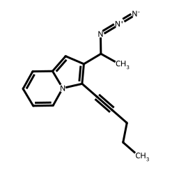 CCCC#Cc1c(C(C)N=[N+]=[N-])cc2ccccn12